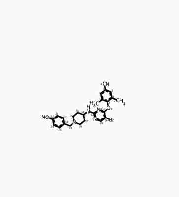 Cc1cc(C#N)cc(C)c1Oc1nc(NC2CCN(Cc3ccc(C#N)cc3)CC2)ncc1Br